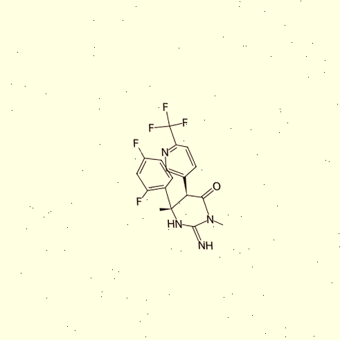 CN1C(=N)N[C@](C)(c2ccc(F)cc2F)[C@@H](c2ccc(C(F)(F)F)nc2)C1=O